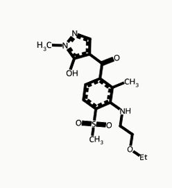 CCOCCNc1c(S(C)(=O)=O)ccc(C(=O)c2cnn(C)c2O)c1C